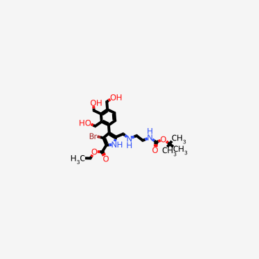 CCOC(=O)c1[nH]c(CNCCNC(=O)OC(C)(C)C)c(-c2ccc(CO)c(CO)c2CO)c1Br